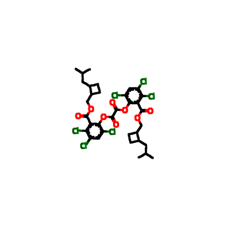 CC(C)CC1CCC1COC(=O)c1c(Cl)c(Cl)cc(Cl)c1OC(=O)C(=O)Oc1c(Cl)cc(Cl)c(Cl)c1C(=O)OCC1CCC1CC(C)C